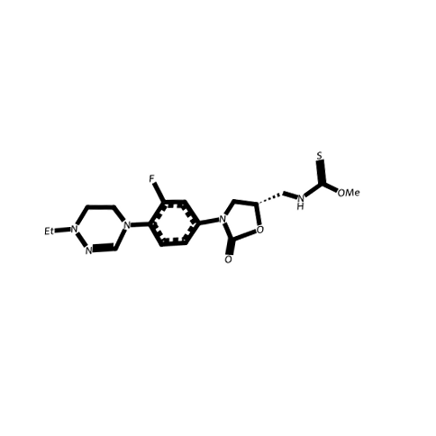 CCN1CCN(c2ccc(N3C[C@H](CNC(=S)OC)OC3=O)cc2F)C=N1